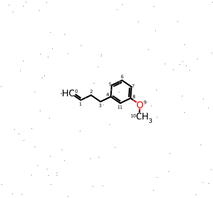 [CH]=CCCc1cccc(OC)c1